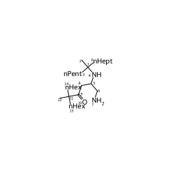 CCCCCCCC(C)(CCCCC)NC(CN)CC(=O)C(C)(CCCCCC)CCCCCC